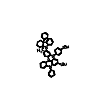 CC(C)(C)c1ccc(N2c3cc(N4c5ccccc5C5(c6ccccc6)CCCCC45C)ccc3B3c4ccccc4N(c4ccccc4)c4cc(C(C)(C)C)cc2c43)cc1